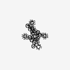 O=C1C(=O)c2ccccc2/C1=C/c1nc2c(C(=O)OCc3ccccc3)c3sc4nc(/C=C5\C(=O)C(=O)c6ccccc65)sc4c3c(C(=O)OCc3ccccc3)c2s1